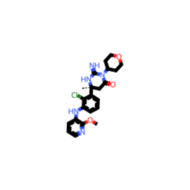 COc1ncccc1Nc1cccc([C@]2(C)CC(=O)N(C3CCOCC3)C(=N)N2)c1Cl